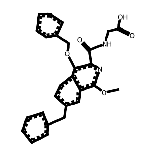 COc1nc(C(=O)NCC(=O)O)c(OCc2ccccc2)c2ccc(Cc3ccccc3)cc12